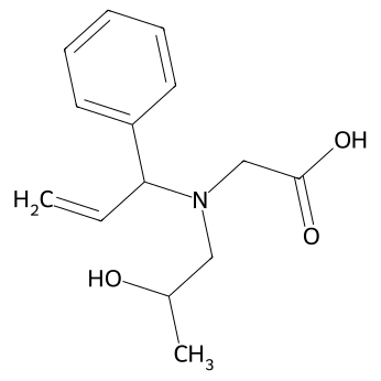 C=CC(c1ccccc1)N(CC(=O)O)CC(C)O